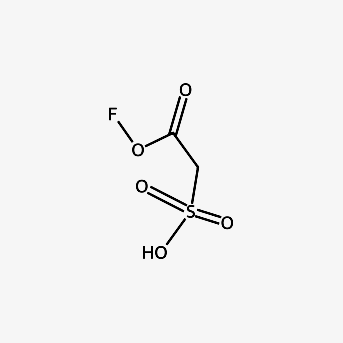 O=C(CS(=O)(=O)O)OF